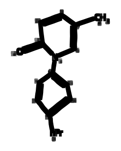 CCCc1ccc(-n2cc(C)ccc2=O)cc1